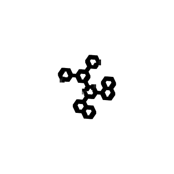 c1cncc(-c2cc(-c3cccnc3)cc(-c3nc(-c4cccc5ccccc45)cc(-c4cccc5ccccc45)n3)c2)c1